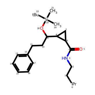 CC(C)CCNC(=O)C1CC1C(CCc1ccccc1)O[Si](C)(C)C(C)(C)C